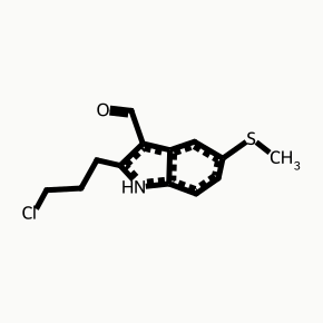 CSc1ccc2[nH]c(CCCCl)c(C=O)c2c1